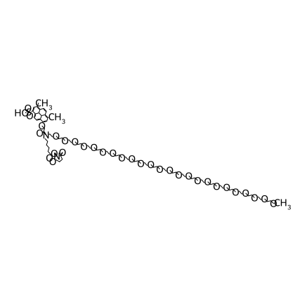 COCCOCCOCCOCCOCCOCCOCCOCCOCCOCCOCCOCCOCCOCCOCCOCCOCCOCCOCCOCCOCCOCCOCCOCCN(CCCCCC(=O)ON1C(=O)CCC1=O)C(=O)COC1=CC(C)=C2C=CC3=C(C)C=C(S(=O)(=O)O)C4=CC=C1C2C43